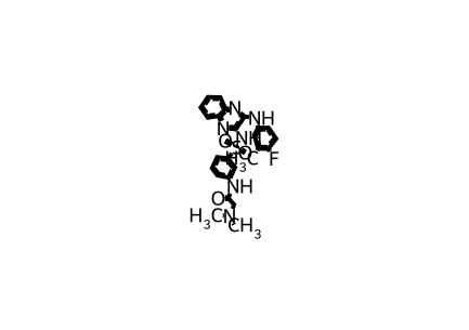 Cc1cc(Nc2nc3ccccc3nc2NS(=O)(=O)c2cccc(NC(=O)CN(C)C)c2)ccc1F